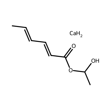 C/C=C/C=C/C(=O)OC(C)O.[CaH2]